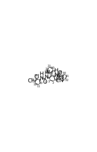 N#Cc1ccc(NC(=O)Nc2cccc(Cl)c2Cl)c(-c2ccccn2)c1NS(=O)(=O)c1cccs1